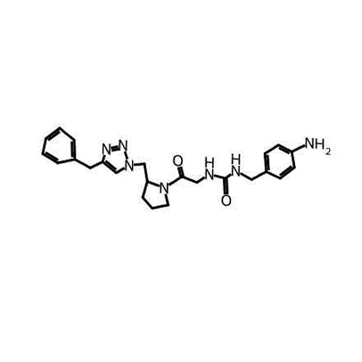 Nc1ccc(CNC(=O)NCC(=O)N2CCCC2Cn2cc(Cc3ccccc3)nn2)cc1